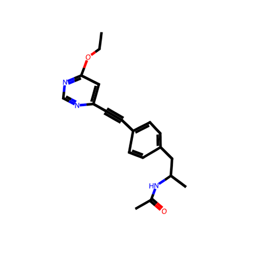 CCOc1cc(C#Cc2ccc(CC(C)NC(C)=O)cc2)ncn1